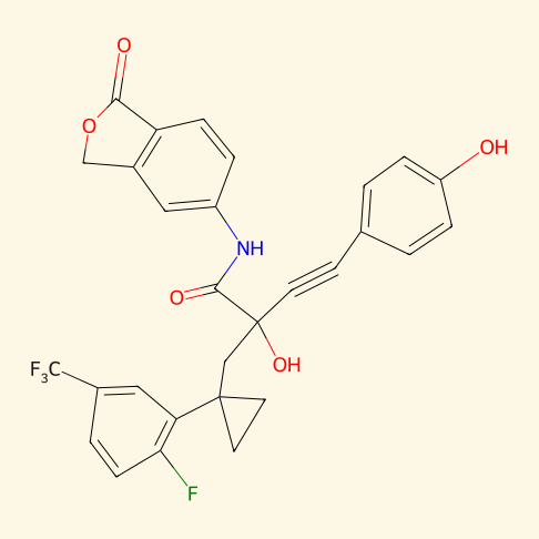 O=C1OCc2cc(NC(=O)C(O)(C#Cc3ccc(O)cc3)CC3(c4cc(C(F)(F)F)ccc4F)CC3)ccc21